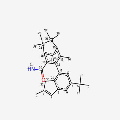 CC1=Cc2cc(C(C)(C)C)cc(-c3c(C)c4c(C)c(c3C([NH])=O)[Si](C)(C)[Si]4(C)C)c2C1